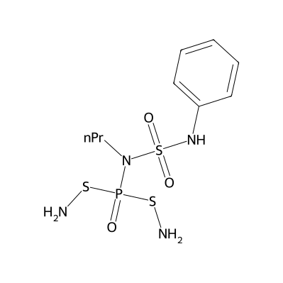 CCCN(P(=O)(SN)SN)S(=O)(=O)Nc1ccccc1